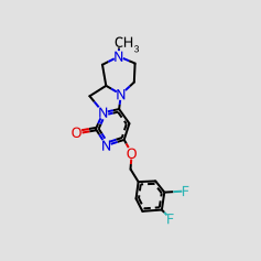 CN1CCN2c3cc(OCc4ccc(F)c(F)c4)nc(=O)n3CC2C1